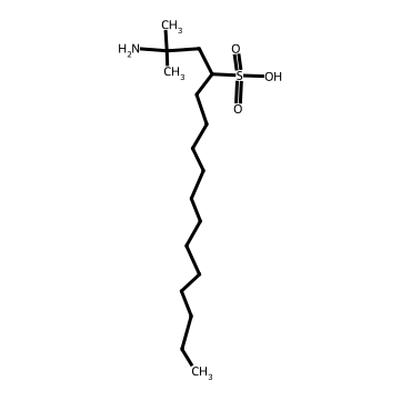 CCCCCCCCCCCCC(CC(C)(C)N)S(=O)(=O)O